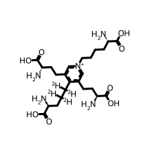 [2H]C([2H])(C[C@H](N)C(=O)O)C([2H])([2H])c1c(CC[C@H](N)C(=O)O)c[n+](CCCC[C@H](N)C(=O)O)cc1CC[C@H](N)C(=O)O